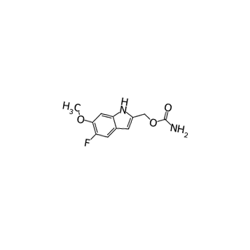 COc1cc2[nH]c(COC(N)=O)cc2cc1F